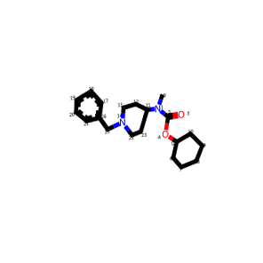 CN(C(=O)OC1CCCCC1)C1CCN(Cc2ccccc2)CC1